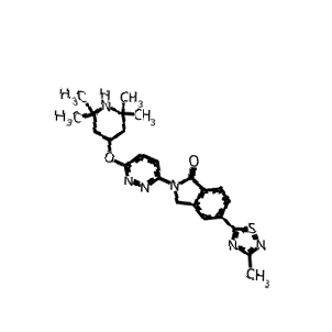 Cc1nsc(-c2ccc3c(c2)CN(c2ccc(OC4CC(C)(C)NC(C)(C)C4)nn2)C3=O)n1